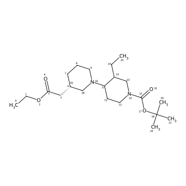 CCOC(=O)C[C@@H]1CCCN(C2CCN(C(=O)OC(C)(C)C)CC2CC)C1